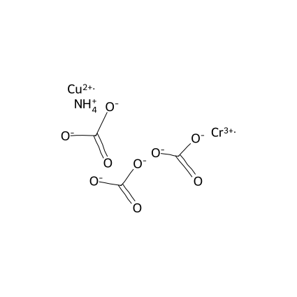 O=C([O-])[O-].O=C([O-])[O-].O=C([O-])[O-].[Cr+3].[Cu+2].[NH4+]